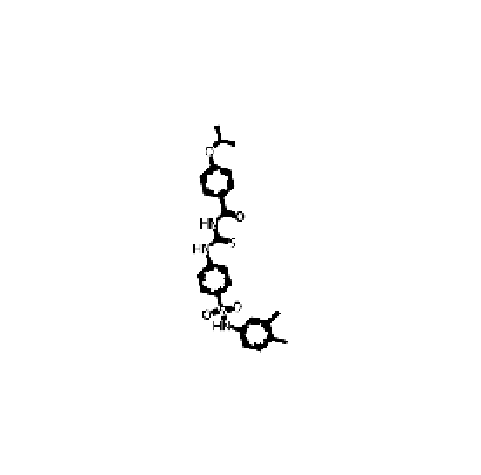 Cc1ccc(NS(=O)(=O)c2ccc(NC(=S)NC(=O)c3ccc(OC(C)C)cc3)cc2)cc1C